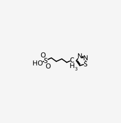 CCCCCS(=O)(=O)O.c1csnn1